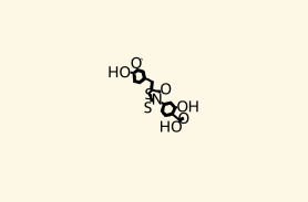 COc1cc(/C=C2\SC(=S)N(c3ccc(C(=O)O)c(O)c3)C2=O)ccc1O